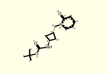 CC(C)(C)OC(=O)N[C@H]1C[C@H](Cn2ccccc2=O)C1